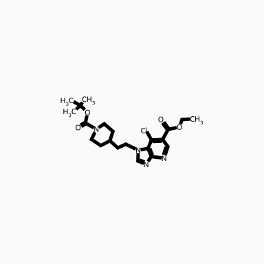 CCOC(=O)c1cnc2ncn(CCC3CCN(C(=O)OC(C)(C)C)CC3)c2c1Cl